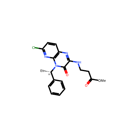 CC[C@@H](c1ccccc1)n1c(=O)c(NCCC(=O)OC)nc2ccc(Cl)nc21